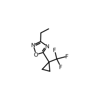 CCc1noc(C2(C(F)(F)F)CC2)n1